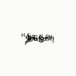 Cn1cc(C(=O)Nc2ccc(Oc3ccnc4cc(OCC(C)(C)O)c5c(c34)OCCC5)cc2Cl)c(=O)n(-c2ccc(F)cc2)c1=O